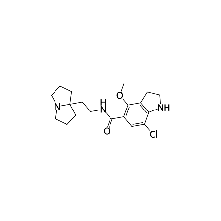 COc1c(C(=O)NCCC23CCCN2CCC3)cc(Cl)c2c1CCN2